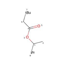 CC(C)C(C)OC(=O)CC(C)(C)C